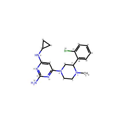 CN1CCN(c2cc(NC3CC3)nc(N)n2)CC1c1ccccc1Br